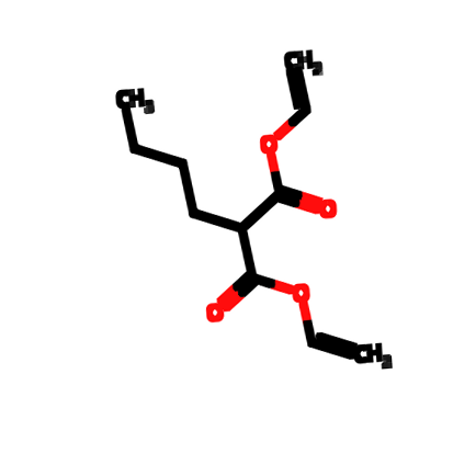 C=COC(=O)C(CCCC)C(=O)OC=C